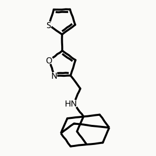 c1csc(-c2cc(CNC34CC5CC(CC(C5)C3)C4)no2)c1